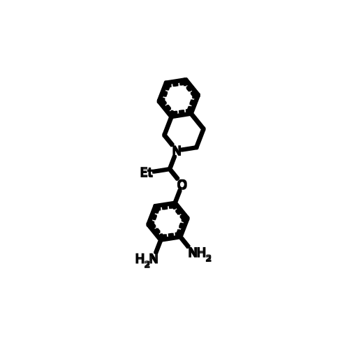 CCC(Oc1ccc(N)c(N)c1)N1CCc2ccccc2C1